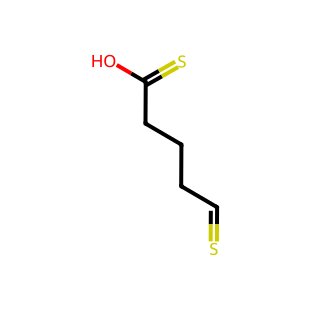 OC(=S)CCCC=S